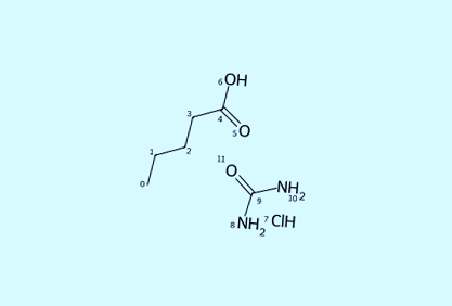 CCCCC(=O)O.Cl.NC(N)=O